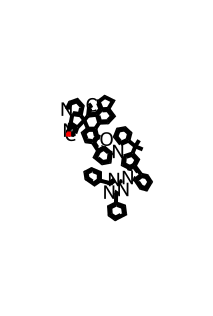 CC1(C)c2ccccc2N(c2cccc3c2oc2c4c(ccc23)C2(c3cccnc3-c3ncccc32)c2ccc3c5c(ccc-4c25)CC3)c2cc3c(cc21)c1ccccc1n3-c1nc(-c2ccccc2)nc(-c2ccccc2)n1